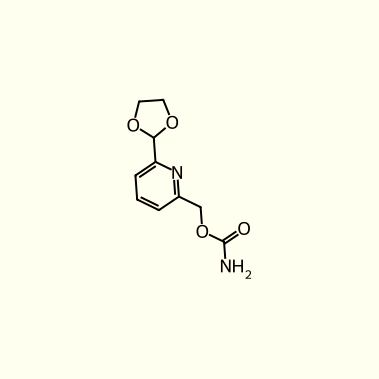 NC(=O)OCc1cccc(C2OCCO2)n1